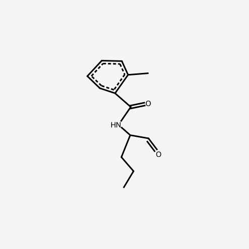 CCCC(C=O)NC(=O)c1ccccc1C